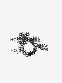 CSCC[C@H](NC(C)=O)C(=O)N[C@H]1CSCc2cccc(c2)CSC[C@@H](C(=O)NC(CC(=O)O)C(=O)N[C@@H](Cc2c[nH]cn2)C(=O)N[C@@H](Cc2ccccc2)C(=O)N[C@@H](CCCNC(N)N)C(N)=O)NC(=O)[C@H](Cc2ccccc2)NC(=O)[C@H](CCC(=O)O)NC(=O)[C@H]([C@@H](C)O)NC(=O)[C@@H]2CCCN2C(=O)[C@@H]2CCCN2C1=O